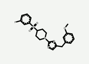 COc1cccc(Cc2csc(N3CCC(S(=O)(=O)c4cccc(F)c4)CC3)n2)c1